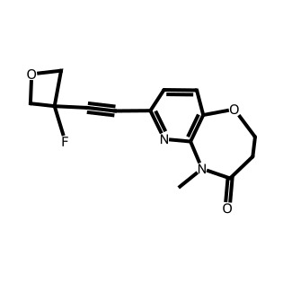 CN1C(=O)CCOc2ccc(C#CC3(F)COC3)nc21